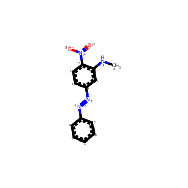 CNc1cc(/N=N/c2ccccc2)ccc1[N+](=O)[O-]